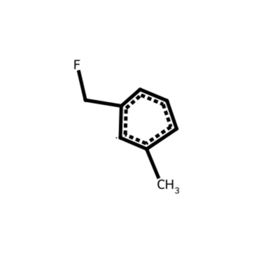 Cc1[c]c(CF)ccc1